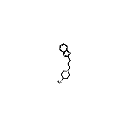 CC1CCN(CCCc2nc3ccccc3s2)CC1